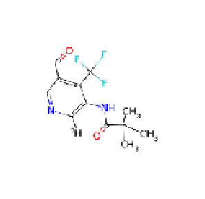 [2H]c1ncc(C=O)c(C(F)(F)F)c1NC(=O)C(C)(C)C